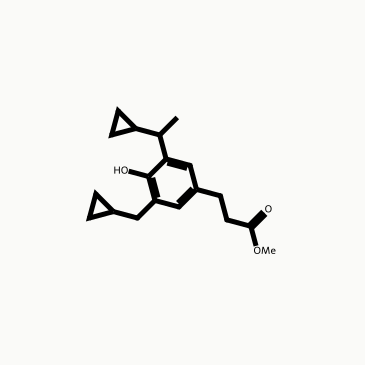 COC(=O)CCc1cc(CC2CC2)c(O)c(C(C)C2CC2)c1